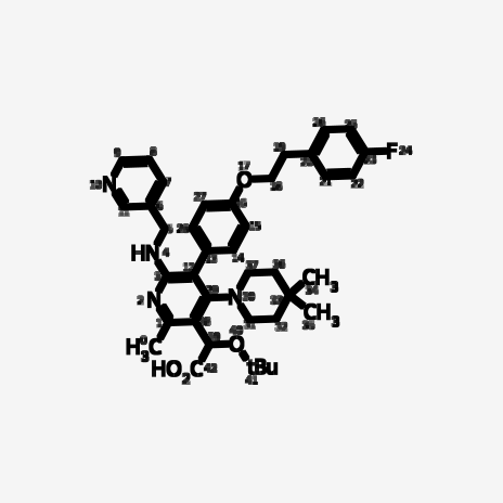 Cc1nc(NCc2cccnc2)c(-c2ccc(OCCc3ccc(F)cc3)cc2)c(N2CCC(C)(C)CC2)c1C(OC(C)(C)C)C(=O)O